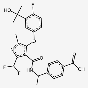 CC(NC(=O)c1c(C(F)F)nn(C)c1Oc1ccc(F)c(C(C)(C)O)c1)c1ccc(C(=O)O)cc1